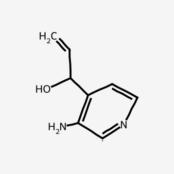 C=CC(O)c1ccn[c]c1N